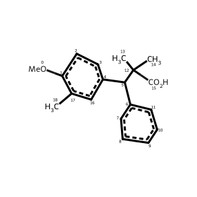 COc1ccc(C(c2ccccc2)C(C)(C)C(=O)O)cc1C